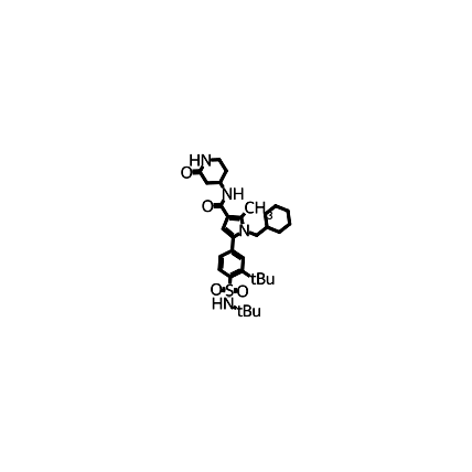 Cc1c(C(=O)NC2CCNC(=O)C2)cc(-c2ccc(S(=O)(=O)NC(C)(C)C)c(C(C)(C)C)c2)n1CC1CCCCC1